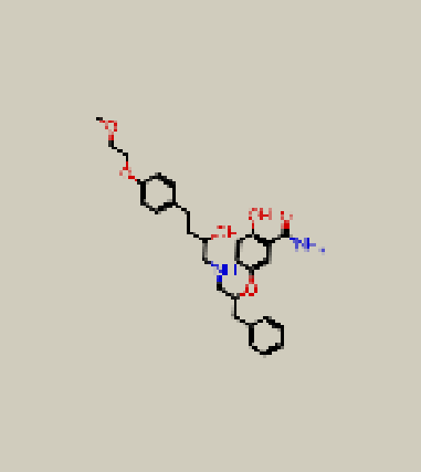 COCCOc1ccc(CCC(O)CNCC(Cc2ccccc2)Oc2ccc(O)c(C(N)=O)c2)cc1